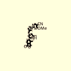 COc1nc(-n2cc(CN3C[C@@H](c4ccc5c(c4C)COC5=O)N[C@@H](C)C3)cn2)ncc1C#N